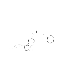 C[C](C)CN1CC(O)(c2c[nH]c3ncc(NC(=O)OCc4ccccc4)cc23)C1